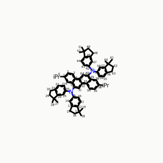 CC(C)c1ccc2c(c1)c(N(c1ccc3c(c1)CCC3(C)C)c1ccc3c(c1)C(C)(C)CC3)cc1c3ccc(C(C)C)cc3c(N(c3ccc4c(c3)CCC4(C)C)c3ccc4c(c3)C(C)(C)CC4)cc21